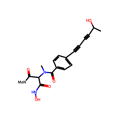 CNC(=O)C(C(=O)NO)N(C)C(=O)c1ccc(C#CC#CC(C)O)cc1